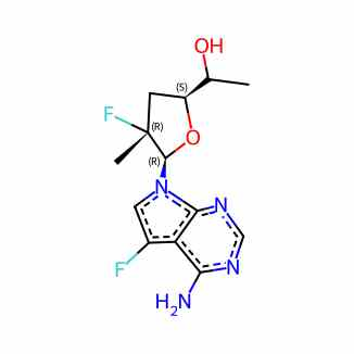 CC(O)[C@@H]1C[C@@](C)(F)[C@H](n2cc(F)c3c(N)ncnc32)O1